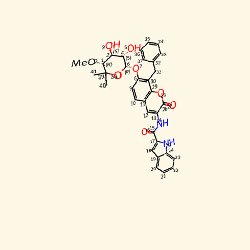 CO[C@@H]1[C@@H](O)[C@H](O)[C@H](Oc2ccc3cc(NC(=O)c4cc5ccccc5[nH]4)c(=O)oc3c2Cc2ccccc2)OC1(C)C